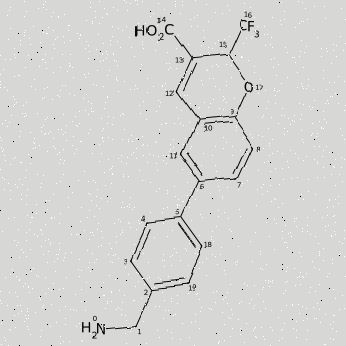 NCc1ccc(-c2ccc3c(c2)C=C(C(=O)O)C(C(F)(F)F)O3)cc1